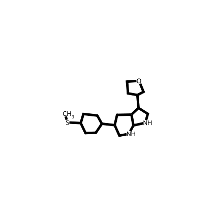 CSC1CCC(C2CNC3NCC(C4CCOC4)C3C2)CC1